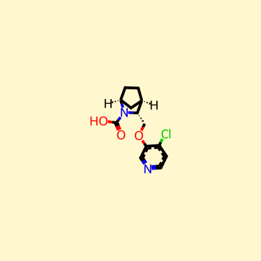 O=C(O)N1[C@H]2CC[C@H](C2)[C@@H]1COc1cnccc1Cl